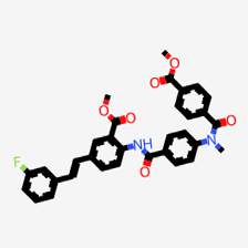 COC(=O)c1ccc(C(=O)N(C)c2ccc(C(=O)Nc3ccc(C=Cc4cccc(F)c4)cc3C(=O)OC)cc2)cc1